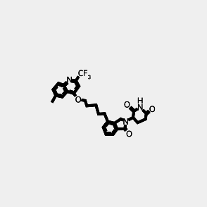 Cc1ccc2nc(C(F)(F)F)cc(OCCCCCc3cccc4c3CN(C3CCC(=O)NC3=O)C4=O)c2c1